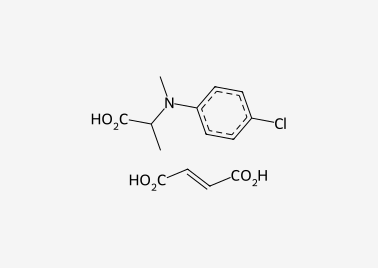 CC(C(=O)O)N(C)c1ccc(Cl)cc1.O=C(O)C=CC(=O)O